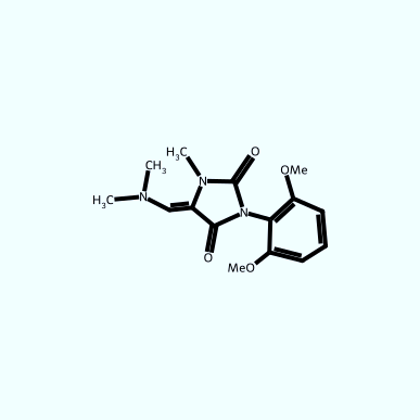 COc1cccc(OC)c1N1C(=O)C(=CN(C)C)N(C)C1=O